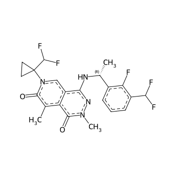 Cc1c(=O)n(C2(C(F)F)CC2)cc2c(N[C@H](C)c3cccc(C(F)F)c3F)nn(C)c(=O)c12